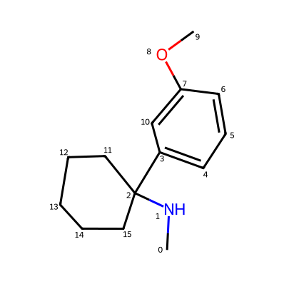 CNC1(c2cccc(OC)c2)CCCCC1